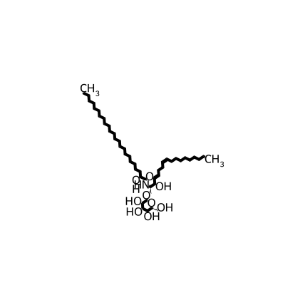 CCCCCCCCC/C=C\CC/C=C/[C@@H](O)[C@H](CO[C@@H]1O[C@H](CO)[C@@H](O)C(O)C1O)NC(=O)[C@H](O)CCCCCCCCCCCCCCCCCCCCCCC